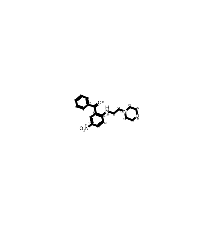 O=C(c1ccccc1)c1cc([N+](=O)[O-])ccc1NCCN1CCOCC1